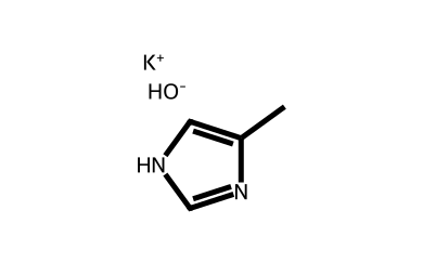 Cc1c[nH]cn1.[K+].[OH-]